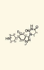 Cn1nc(N2CCC(=O)NC2=O)c2cc(F)c(C3CCNCC3)cc21